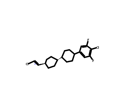 Fc1cc(C2CCC([C@H]3CC[C@H](/C=C/Cl)CC3)CC2)cc(F)c1Cl